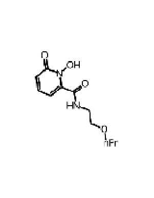 CCCOCCNC(=O)c1cccc(=O)n1O